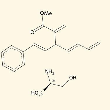 C=CC=CC(C=Cc1ccccc1)C(=C)C(=O)OC.N[C@@H](CO)C(=O)O